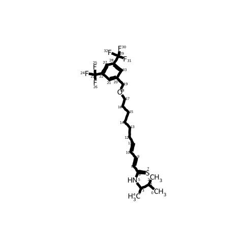 CC(C)C(C)NC(=S)C=CC=CCCCCCCOCc1cc(C(F)(F)F)cc(C(F)(F)F)c1